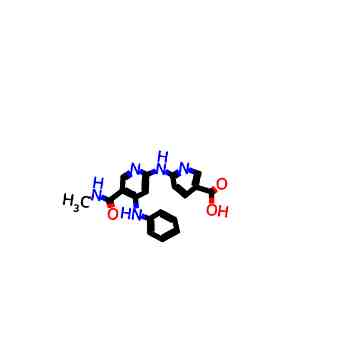 CNC(=O)c1cnc(Nc2ccc(C(=O)O)cn2)cc1Nc1ccccc1